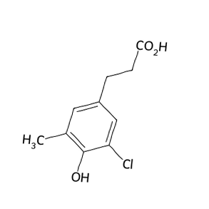 Cc1cc(CCC(=O)O)cc(Cl)c1O